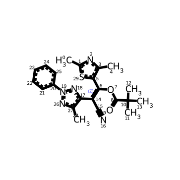 Cc1nc(C)c(/C(OC(=O)C(C)(C)C)=C(/C#N)c2nn(-c3ccccc3)nc2C)s1